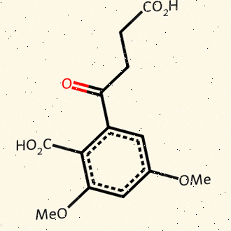 COc1cc(OC)c(C(=O)O)c(C(=O)CCC(=O)O)c1